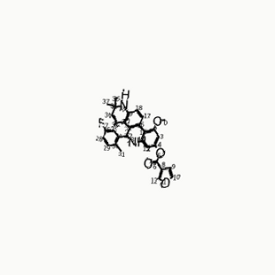 COc1cc(OC(=O)c2ccoc2)ccc1-c1ccc2c(c1C(N)c1cc(F)ccc1C)C(C)=CC(C)(C)N2